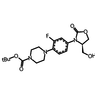 CC(C)(C)OC(=O)N1CCN(c2ccc(N3C(=O)OC[C@H]3CO)cc2F)CC1